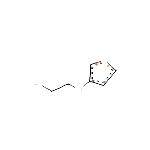 BrCCOc1ccsc1